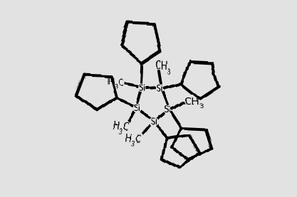 C[Si]1(C2CCCC2)[Si](C)(C2CCCC2)[Si](C)(C2CCCC2)[Si](C)(C2CCCC2)[Si]1(C)C1CCCC1